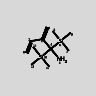 C=CC(=C)C(N)([Si](C)(C)C)[Si](C)(C)C